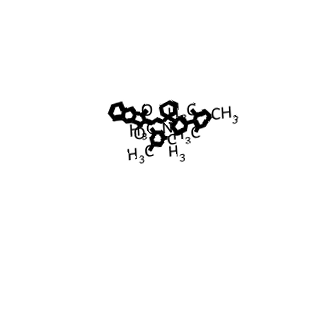 Cc1cc(C)c(-c2ccc3c(c2)C2(CCCCC2)/C(=C/C=C2C(=O)c4cc5ccccc5cc4C2=O)N3c2c(C)cc(C)cc2C)c(C)c1